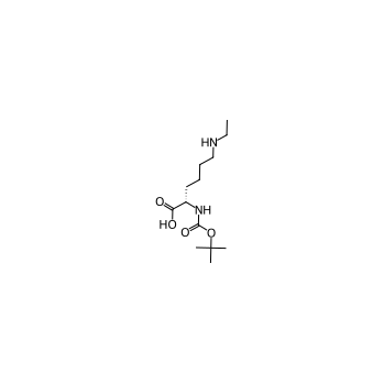 CCNCCCC[C@H](NC(=O)OC(C)(C)C)C(=O)O